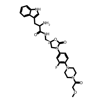 COCC(=O)N1CCN(c2ccc(N3C[C@@H](CNC(=O)C(N)Cc4c[nH]c5ccccc45)OC3=O)cc2F)CC1